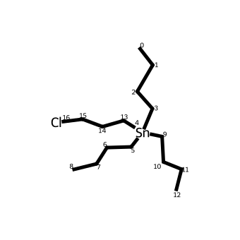 CCC[CH2][Sn]([CH2]CCC)([CH2]CCC)[CH2]CCCl